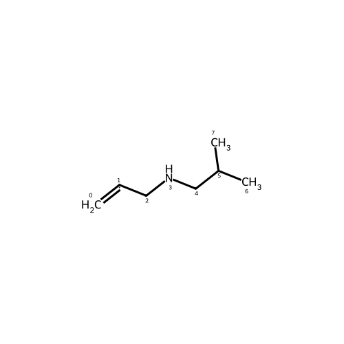 C=[C]CNCC(C)C